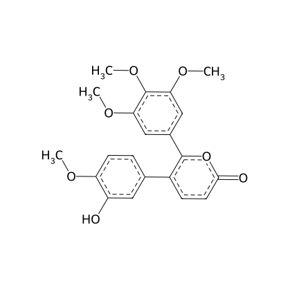 COc1ccc(-c2ccc(=O)oc2-c2cc(OC)c(OC)c(OC)c2)cc1O